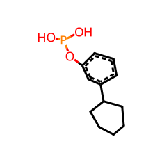 OP(O)Oc1cccc(C2CCCCC2)c1